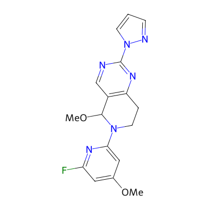 COc1cc(F)nc(N2CCc3nc(-n4cccn4)ncc3C2OC)c1